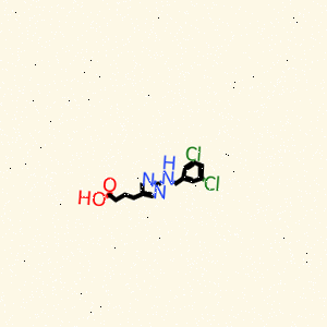 O=C(O)CCCc1cnc(NCc2cc(Cl)cc(Cl)c2)nc1